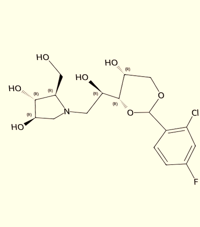 OC[C@@H]1[C@@H](O)[C@H](O)CN1C[C@@H](O)[C@H]1OC(c2ccc(F)cc2Cl)OC[C@H]1O